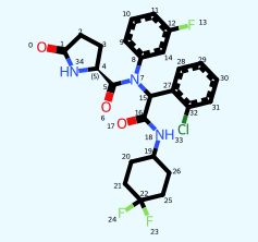 O=C1CC[C@@H](C(=O)N(c2cccc(F)c2)C(C(=O)NC2CCC(F)(F)CC2)c2ccccc2Cl)N1